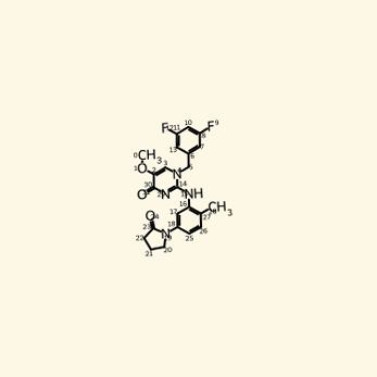 COc1cn(Cc2cc(F)cc(F)c2)c(Nc2cc(N3CCCC3=O)ccc2C)nc1=O